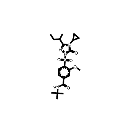 CCC(C)c1nn(S(=O)(=O)c2ccc(C(=O)NC(C)(C)C)cc2OC)c(=O)n1C1CC1